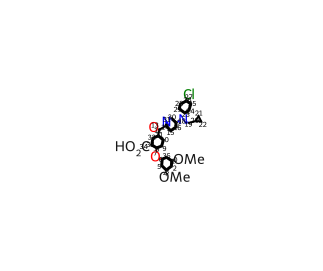 COc1cc(OC)cc(Oc2ccc(C(=O)c3ccc(N(CC4CC4)c4ccc(Cl)cc4)cn3)cc2C(=O)O)c1